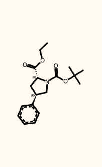 CCOC(=O)[C@H]1C[C@H](c2ccccc2)CN1C(=O)OC(C)(C)C